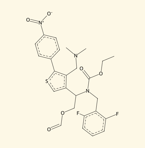 CCOC(=O)N(Cc1c(F)cccc1F)C(COC=O)c1csc(-c2ccc([N+](=O)[O-])cc2)c1CN(C)C